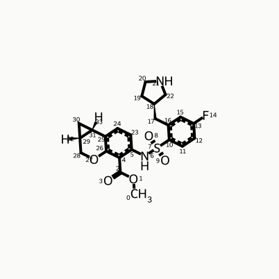 COC(=O)c1c(NS(=O)(=O)c2ccc(F)cc2C[C@H]2CCNC2)ccc2c1OC[C@@H]1C[C@H]21